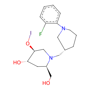 OC[C@H]1C[C@H](O)[C@@H](OI)CN1C[C@H]1CCCN(c2ccccc2F)C1